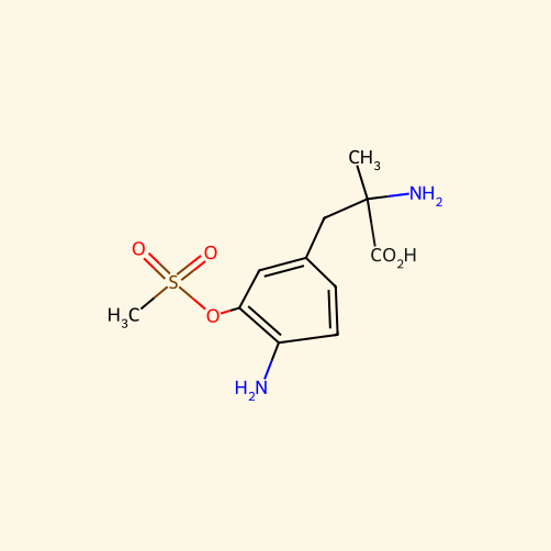 CC(N)(Cc1ccc(N)c(OS(C)(=O)=O)c1)C(=O)O